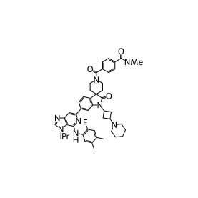 CNC(=O)c1ccc(C(=O)N2CCC3(CC2)C(=O)N(C2CC(N4CCCCC4)C2)c2cc(-c4cc5ncn(C(C)C)c5c(Nc5cc(C)c(C)cc5F)n4)ccc23)cc1